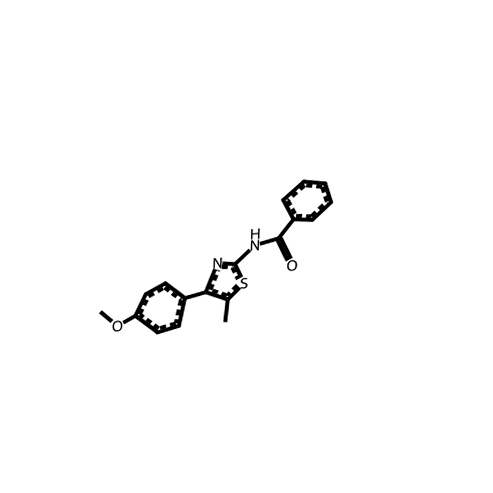 COc1ccc(-c2nc(NC(=O)c3ccccc3)sc2C)cc1